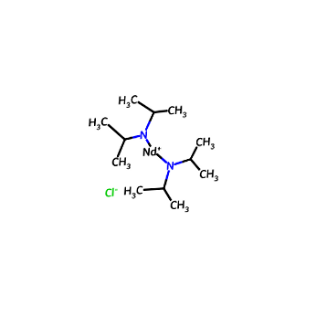 CC(C)[N]([Nd+][N](C(C)C)C(C)C)C(C)C.[Cl-]